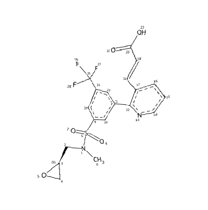 CN(C[C@H]1CO1)S(=O)(=O)c1cc(-c2ncccc2C=CC(=O)O)cc(C(F)(F)F)c1